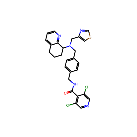 O=C(NCc1ccc(CN(Cc2cscn2)C2CCCc3cccnc32)cc1)c1c(Cl)cncc1Cl